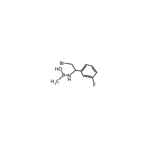 CB(O)NC(CBr)c1cccc(F)c1